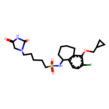 O=C1CN(CCCCCS(=O)(=O)NC2CCCCc3c2ccc(F)c3OCC2CC2)C(=O)N1